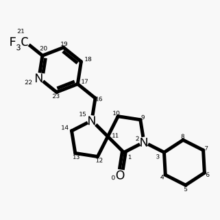 O=C1N(C2CCCCC2)CCC12CCCN2Cc1ccc(C(F)(F)F)nc1